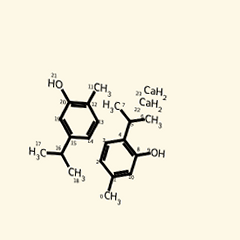 Cc1ccc(C(C)C)c(O)c1.Cc1ccc(C(C)C)cc1O.[CaH2].[CaH2]